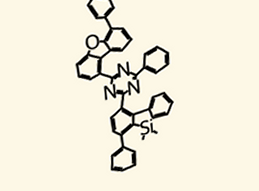 C[Si]1(C)c2ccccc2-c2c(-c3nc(-c4ccccc4)nc(-c4cccc5oc6c(-c7ccccc7)cccc6c45)n3)ccc(-c3ccccc3)c21